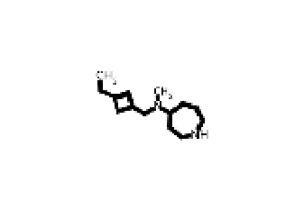 CCC1=CC(CN(C)C2CCCNCC2)C1